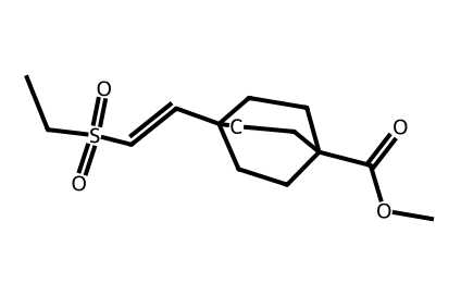 CCS(=O)(=O)/C=C/C12CCC(C(=O)OC)(CC1)CC2